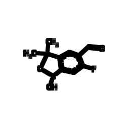 CC1(C)OB(O)c2cc(F)c(C=O)cc21